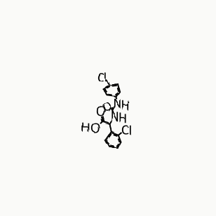 O=C(Nc1ccc(Cl)cc1)NC(C(=O)O)c1ccccc1Cl